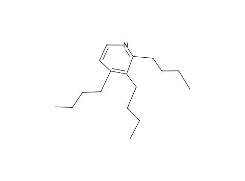 CCCCc1ccnc(CCCC)c1CCCC